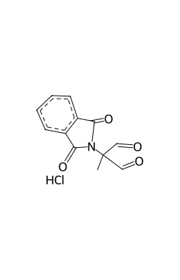 CC(C=O)(C=O)N1C(=O)c2ccccc2C1=O.Cl